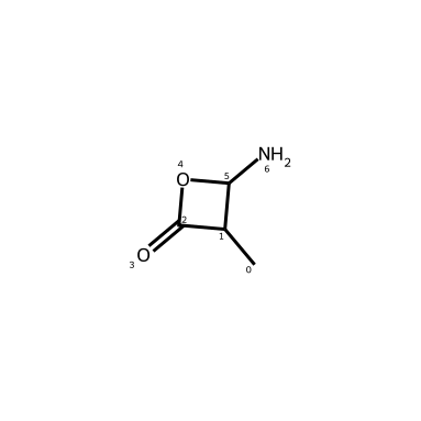 CC1C(=O)OC1N